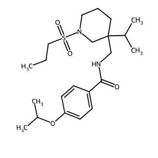 CCCS(=O)(=O)N1CCCC(CNC(=O)c2ccc(OC(C)C)cc2)(C(C)C)C1